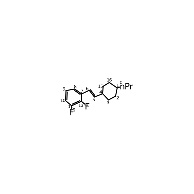 CCCC1CCC(C=Cc2cccc(F)c2F)CC1